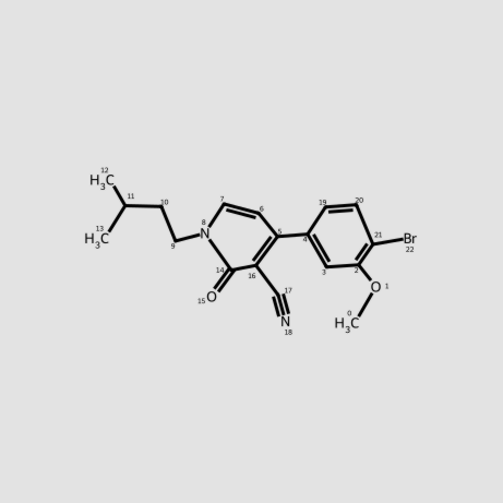 COc1cc(-c2ccn(CCC(C)C)c(=O)c2C#N)ccc1Br